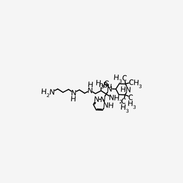 CCCCC(CNCCNCCCN)C(N)(N1N=CC=CN1)N(C)C1CC(C)(C)NC(C)(C)C1